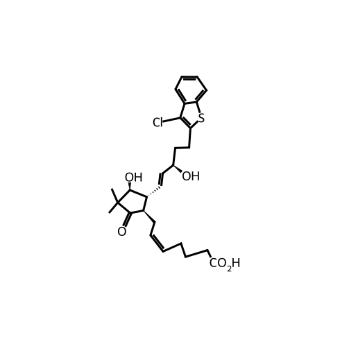 CC1(C)C(=O)[C@H](C/C=C\CCCC(=O)O)[C@@H](/C=C/[C@H](O)CCc2sc3ccccc3c2Cl)[C@@H]1O